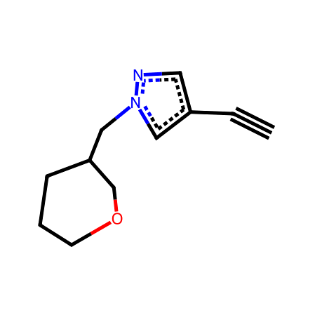 C#Cc1cnn(CC2CCCOC2)c1